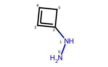 NNC1=C=CC1